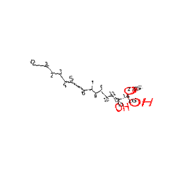 CCCCCCCCCCCCC(O)C(=O)O